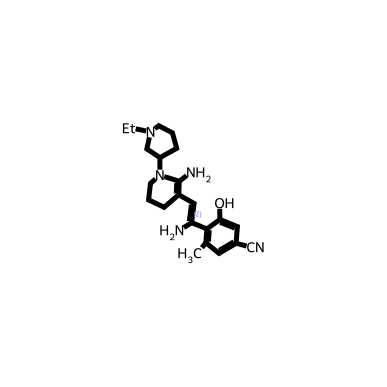 CCN1CCCC(N2CCCC(/C=C(\N)c3c(C)cc(C#N)cc3O)=C2N)C1